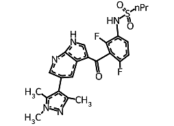 CCCS(=O)(=O)Nc1ccc(F)c(C(=O)c2c[nH]c3ncc(-c4c(C)nn(C)c4C)cc23)c1F